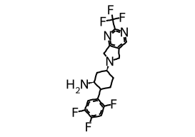 N[C@H]1C[C@@H](N2Cc3cnc(C(F)(F)F)nc3C2)CCC1c1cc(F)c(F)cc1F